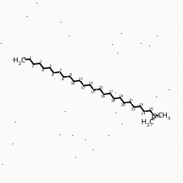 [CH2]CCCCCCCCCCCCCCCCCCCCCCCCCN(C)C